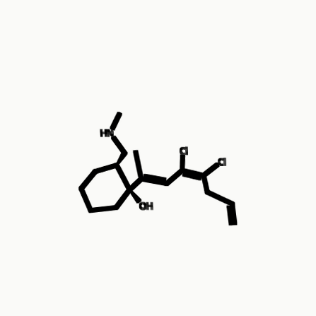 C=CC/C(Cl)=C(Cl)\C=C(/C)[C@]1(O)CCCC[C@H]1CNC